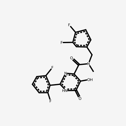 CN(Cc1ccc(F)c(F)c1)C(=O)c1nc(-c2c(F)cccc2F)[nH]c(=O)c1O